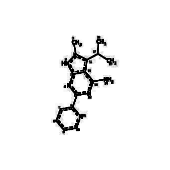 Cc1[nH]c2nc(-c3ccccn3)nc(N)c2c1C(C)C